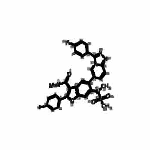 CNC(=O)c1c(-c2ccc(F)cc2)oc2cc(N(C)S(C)(=O)=O)c(-c3ccc4nnc(-c5ccc(F)cc5)n4c3)cc12